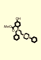 COC(=O)c1cc(O)ccc1N(CCN1CCN(c2ccccc2)CC1)Cc1ccccc1